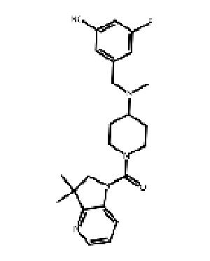 CN(Cc1cc(F)cc(C#N)c1)C1CCN(C(=O)N2CC(C)(C)c3ncccc32)CC1